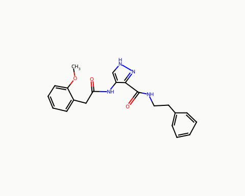 COc1ccccc1CC(=O)Nc1c[nH]nc1C(=O)NCCc1ccccc1